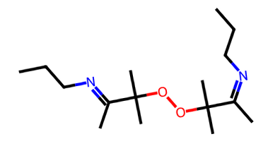 CCCN=C(C)C(C)(C)OOC(C)(C)C(C)=NCCC